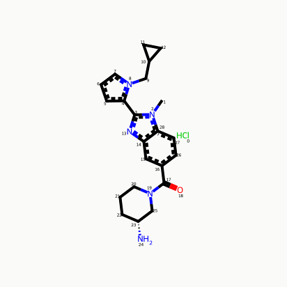 Cl.Cn1c(-c2cccn2CC2CC2)nc2cc(C(=O)N3CCC[C@@H](N)C3)ccc21